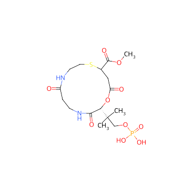 COC(=O)C1CC(=O)O[C@H](C(C)(C)COP(=O)(O)O)C(=O)NCCC(=O)NCCS1